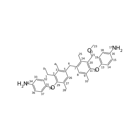 CCc1c(C)c(Cc2cc(C)c(Oc3ccc(N)cc3)c(COC)c2C)cc(C)c1Oc1ccc(N)cc1